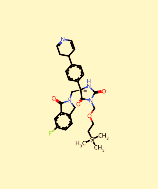 C[Si](C)(C)CCOCN1C(=O)N[C@@](CN2Cc3ccc(F)cc3C2=O)(c2ccc(C3C=CN=CC3)cc2)C1=O